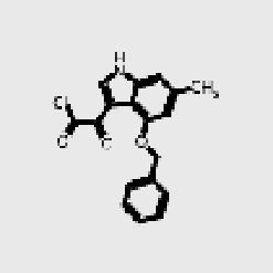 Cc1cc(OCc2ccccc2)c2c(C(=O)C(=O)Cl)c[nH]c2c1